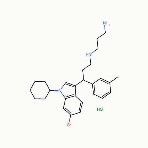 Cc1cccc(C(CCNCCCN)c2cn(C3CCCCC3)c3cc(Br)ccc23)c1.Cl